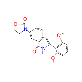 COc1cccc(OC)c1-c1cc2ccc(N3CCOC3=O)cc2c(=O)[nH]1